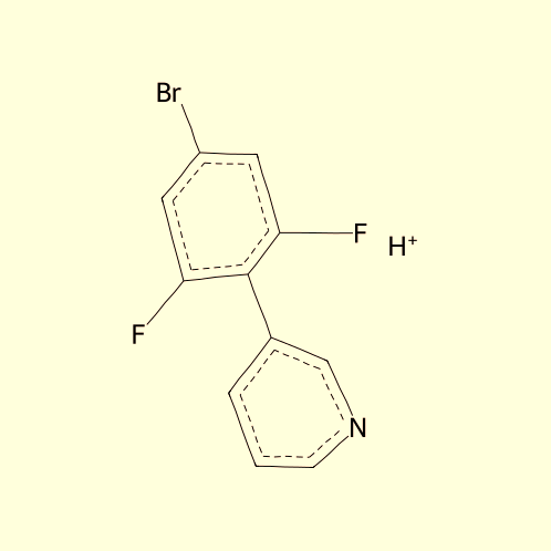 Fc1cc(Br)cc(F)c1-c1cccnc1.[H+]